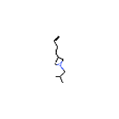 C=CCCC1CN(CC(C)C)C1